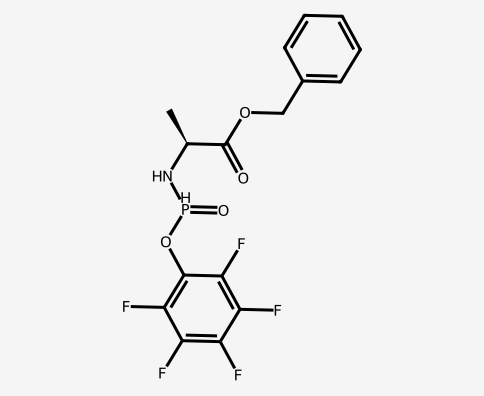 C[C@H](N[PH](=O)Oc1c(F)c(F)c(F)c(F)c1F)C(=O)OCc1ccccc1